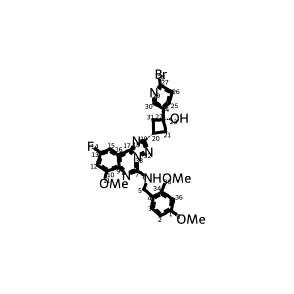 COc1ccc(CNc2nc3c(OC)cc(F)cc3c3nc([C@H]4C[C@](O)(c5ccc(Br)nc5)C4)nn23)c(OC)c1